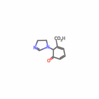 O=C(O)C1=CC=CC(=O)C1N1C=NCC1